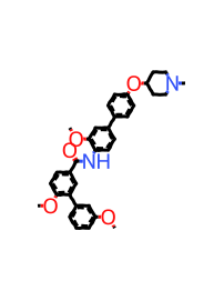 COc1cccc(-c2cc(C(=O)Nc3ccc(-c4ccc(OC5CCN(C)CC5)cc4)cc3OC)ccc2OC)c1